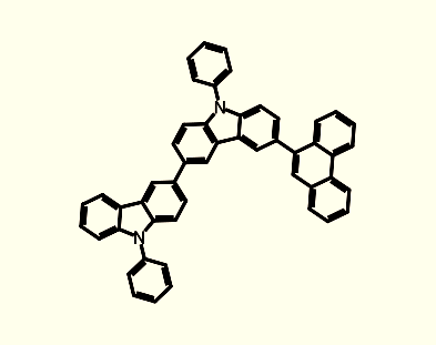 c1ccc(-n2c3ccccc3c3cc(-c4ccc5c(c4)c4cc(-c6cc7ccccc7c7ccccc67)ccc4n5-c4ccccc4)ccc32)cc1